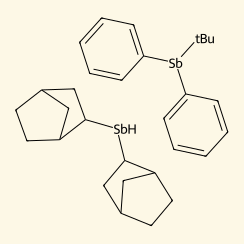 C1CC2CC1C[CH]2[SbH][CH]1CC2CCC1C2.C[C](C)(C)[Sb]([c]1ccccc1)[c]1ccccc1